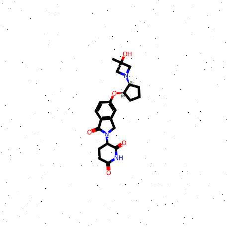 CC1(O)CN([C@H]2CCC[C@H]2Oc2ccc3c(c2)CN(C2CCC(=O)NC2=O)C3=O)C1